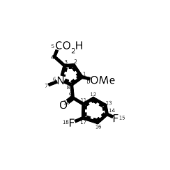 COc1cc(CC(=O)O)n(C)c1C(=O)c1ccc(F)cc1F